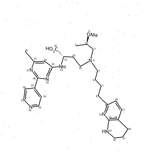 CO[C@H](C)CN(CCCCc1ccc2c(n1)NCCC2)CC[C@H](Nc1cc(C)nc(-c2ccncc2)n1)C(=O)O